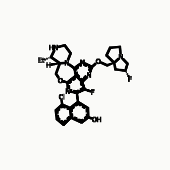 CC[C@@H]1NCCN2c3nc(OC[C@@]45CCCN4C[C@H](F)C5)nc4c(F)c(-c5cc(O)cc6cccc(Cl)c56)nc(c34)OC[C@H]12